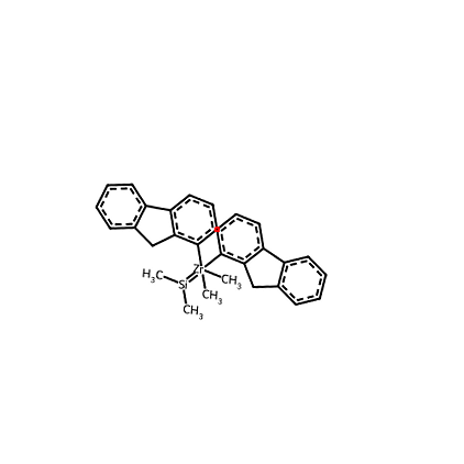 C[Si](C)=[Zr]([CH3])([CH3])([c]1cccc2c1Cc1ccccc1-2)[c]1cccc2c1Cc1ccccc1-2